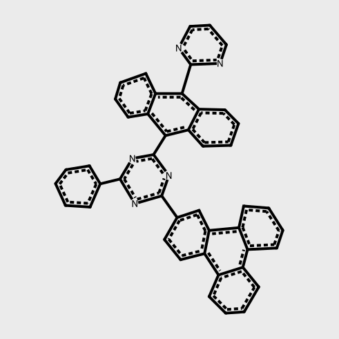 c1ccc(-c2nc(-c3ccc4c5ccccc5c5ccccc5c4c3)nc(-c3c4ccccc4c(-c4ncccn4)c4ccccc34)n2)cc1